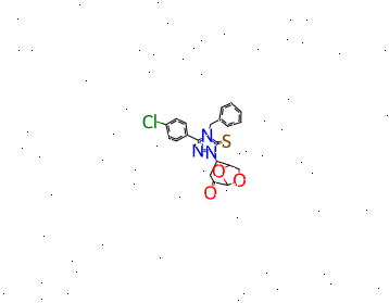 O=C1CC(n2nc(-c3ccc(Cl)cc3)n(Cc3ccccc3)c2=S)C2COC1O2